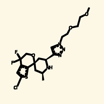 COCCOCCn1cc([C@@H]2C[C@]3(C[C@H](C)N2)OCC(F)(F)c2cc(Cl)sc23)nn1